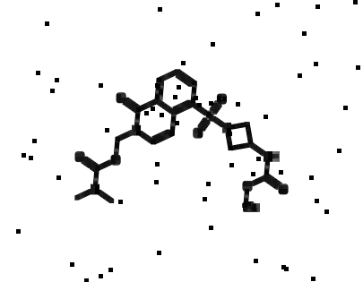 CN(C)C(=O)OCn1ccc2c(S(=O)(=O)N3CC(NC(=O)OC(C)(C)C)C3)cccc2c1=O